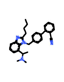 CCCCc1nc2cccc(C(C)N(C)C)c2n1Cc1ccc(-c2ccccc2C#N)cc1